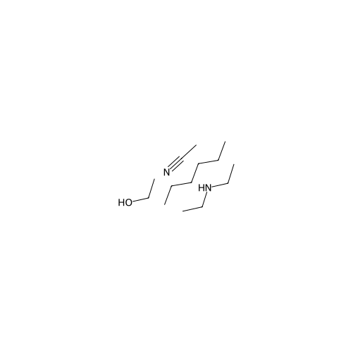 CC#N.CCCCCC.CCNCC.CCO